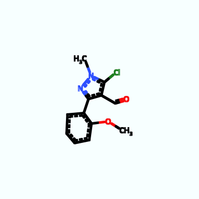 COc1ccccc1-c1nn(C)c(Cl)c1C=O